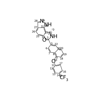 C[C@H](NC(=O)c1ccc2c(Oc3ccc(C(F)(F)F)cc3)cccc2c1)c1cccc2cn[nH]c12